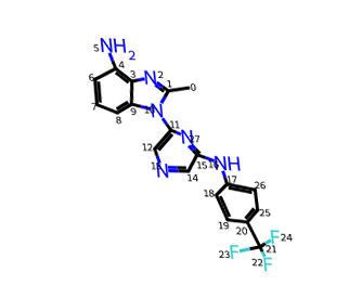 Cc1nc2c(N)cccc2n1-c1cncc(Nc2ccc(C(F)(F)F)cc2)n1